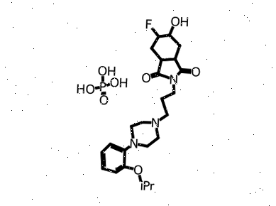 CC(C)Oc1ccccc1N1CCN(CCCN2C(=O)C3CC(O)C(F)CC3C2=O)CC1.O=P(O)(O)O